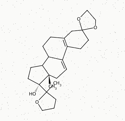 CC1([C@@]2(O)CCC3C4CCC5=C(CCC6(C5)OCCO6)C4=CC[C@@]32C)CCCO1